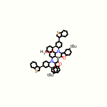 Cc1cc2c3c(c1)N(c1ccc(-c4csc5ccccc45)cc1-c1ccccc1)c1c(oc4ccc(C(C)(C)C)cc14)B3c1oc3ccc(C(C)(C)C)cc3c1N2c1ccc(-c2csc3ccccc23)cc1-c1ccccc1